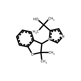 CC(C)(O)c1cncn1C1c2ccccc2OC1(C)C